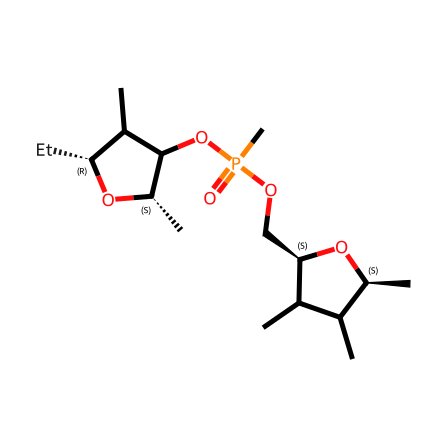 CC[C@H]1O[C@@H](C)C(OP(C)(=O)OC[C@H]2O[C@@H](C)C(C)C2C)C1C